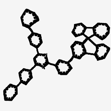 c1ccc(-c2ccc(-c3cc(-c4ccc(-c5ccccc5)cc4)nc(-c4cccc(-c5ccc6c(c5)-c5ccccc5C65c6ccccc6-c6ccccc65)c4)n3)cc2)cc1